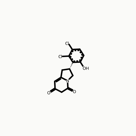 O=C1C=C2C[C@H](c3c(O)ccc(Cl)c3Cl)CN2C(=O)C1